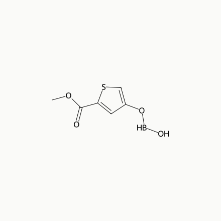 COC(=O)c1cc(OBO)cs1